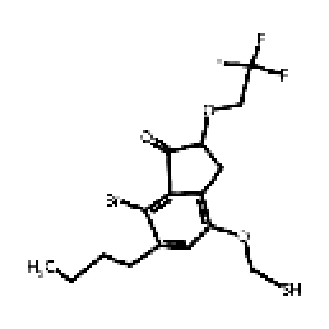 CCCCc1cc(OCS)c2c(c1Br)C(=O)C(OCC(F)(F)F)C2